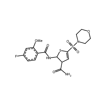 COc1cc(F)ccc1C(=O)NC1SC(S(=O)(=O)N2CCOCC2)=CC1C(N)=O